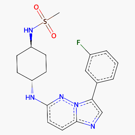 CS(=O)(=O)N[C@H]1CC[C@H](Nc2ccc3ncc(-c4cccc(F)c4)n3n2)CC1